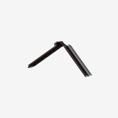 Cl.Cl.Cl.Cl.Cl.Cl.Cl.Cl.Cl.[Zn+2].[Zn+2].[Zn+2].[Zn+2].[Zn+2].[Zn+2].[Zn+2].[Zn+2].[Zn+2].[Zn+2].[Zn+2].[Zn+2].[Zn+2].[Zn+2].[Zn+2].[Zn+2].[Zn+2].[Zn+2].[Zn+2].[Zn+2].[Zn+2].[Zn+2].[Zn+2].[Zn+2].[Zn+2].[Zn+2].[Zn+2].[Zn+2].[Zn+2].[Zn+2].[Zn+2].[Zn+2].[Zn+2].[Zn+2].[Zn+2].[Zn+2].[Zn+2].[Zn+2].[Zn+2].[Zn+2].[Zn+2].[Zn+2].[Zn+2].[Zn+2].[Zn+2].[Zn+2].[Zn+2].[Zn+2].[Zn+2].[Zn+2].[Zn+2].[Zn+2].[Zn+2].[Zn+2].[Zn+2].[Zn+2].[Zn+2].[Zn+2].[Zn+2].[Zn+2].[Zn+2].[Zn+2].[Zn+2].[Zn+2].[Zn+2].[Zn+2].[Zn+2].[Zn+2].[Zn+2].[Zn+2].[Zn+2].[Zn+2].[Zn+2].[Zn+2].[Zn+2].[Zn+2].[Zn+2].[Zn+2].[Zn+2].[Zn+2].[Zn+2].[Zn+2].[Zn+2].[Zn+2].[Zn+2].[Zn+2].[Zn+2].[Zn+2].[Zn+2].[Zn+2].[Zn+2].[Zn+2].[Zn+2]